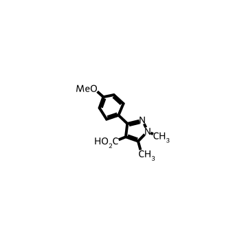 COc1ccc(-c2nn(C)c(C)c2C(=O)O)cc1